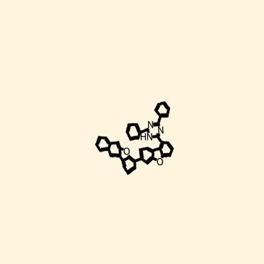 c1ccc(C2=NC(c3ccccc3)NC(c3cccc4oc5cc(-c6cccc7c6oc6cc8ccccc8cc67)ccc5c34)=N2)cc1